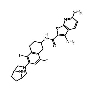 Cc1ccc2c(N)c(C(=O)N[C@@H]3CCc4c(F)c(N5CC6CCC(C5)N6)cc(F)c4C3)sc2n1